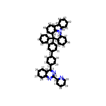 c1ccc(C2(c3ccc(-c4ccc(-c5nc(-c6ccccn6)nc6ccccc56)cc4)cc3)c3ccccc3-n3c4ccccc4c4cccc2c43)cc1